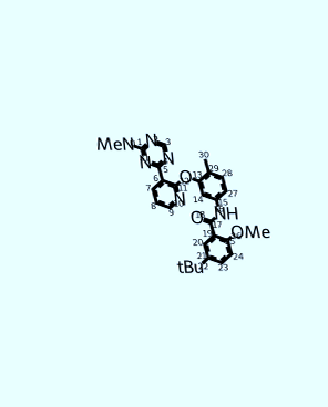 CNc1ncnc(-c2cccnc2Oc2cc(NC(=O)c3cc(C(C)(C)C)ccc3OC)ccc2C)n1